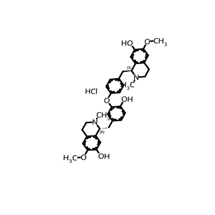 COc1cc2c(cc1O)[C@@H](Cc1ccc(O)c(Oc3ccc(C[C@H]4c5cc(O)c(OC)cc5CCN4C)cc3)c1)N(C)CC2.Cl